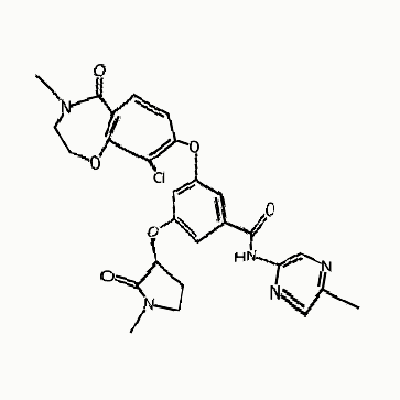 Cc1cnc(NC(=O)c2cc(Oc3ccc4c(c3Cl)OCCN(C)C4=O)cc(O[C@H]3CCN(C)C3=O)c2)cn1